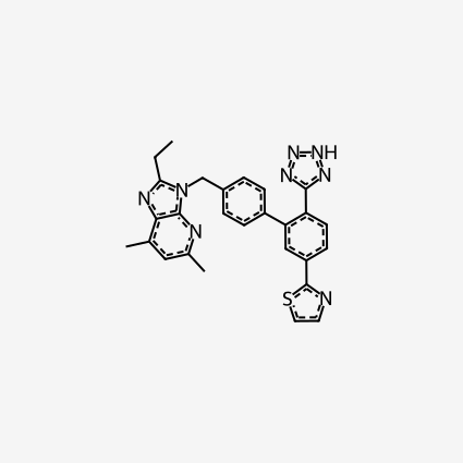 CCc1nc2c(C)cc(C)nc2n1Cc1ccc(-c2cc(-c3nccs3)ccc2-c2nn[nH]n2)cc1